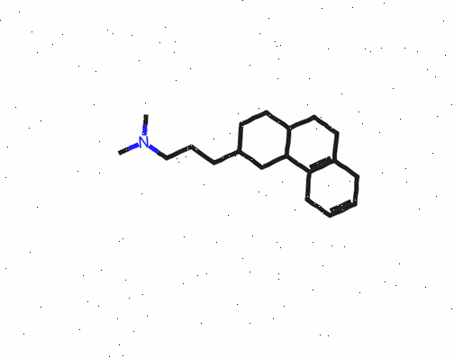 CN(C)CCCC1CCC2CCC3=C(CC=CC3)C2C1